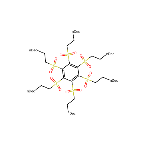 CCCCCCCCCCCCS(=O)(=O)c1c(S(=O)(=O)CCCCCCCCCCCC)c(S(=O)(=O)CCCCCCCCCCCC)c(S(=O)(=O)CCCCCCCCCCCC)c(S(=O)(=O)CCCCCCCCCCCC)c1S(=O)(=O)CCCCCCCCCCCC